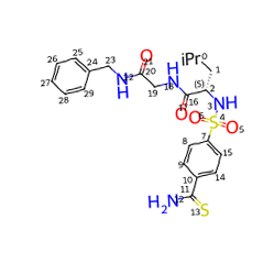 CC(C)C[C@H](NS(=O)(=O)c1ccc(C(N)=S)cc1)C(=O)NCC(=O)NCc1ccccc1